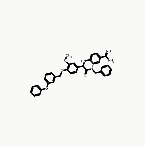 COc1cc(C(Nc2ccc(C(=N)N)cc2)C(=O)NCc2ccccc2)ccc1OCc1cccc(Oc2ccccc2)c1